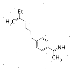 C=C(CC)CCCCc1ccc(C(C)=N)cc1